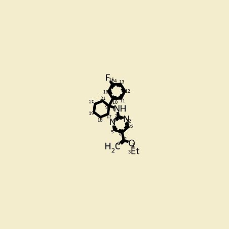 C=C(OCC)c1cnc(NC2(c3cccc(F)c3)CCCCC2)nc1